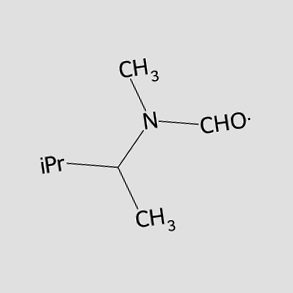 CC(C)C(C)N(C)[C]=O